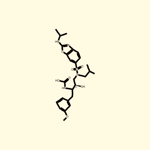 COc1cccc(CC(NC(=O)O)[C@H](O)CN(CC(C)C)S(=O)(=O)c2ccc3nc(NC(C)C)oc3c2)c1